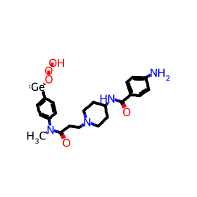 CN(C(=O)CCN1CCC(NC(=O)c2ccc(N)cc2)CC1)c1cc[c]([Ge][O]OO)cc1